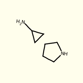 C1CCNC1.NC1CC1